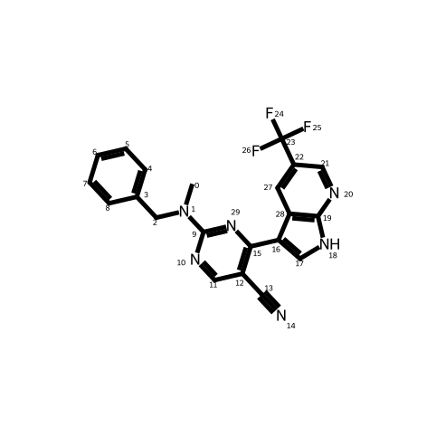 CN(Cc1ccccc1)c1ncc(C#N)c(-c2c[nH]c3ncc(C(F)(F)F)cc23)n1